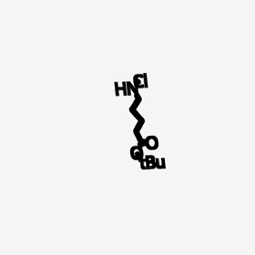 CC(C)(C)OC(=O)CCCCNCl